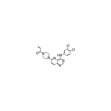 C=CC(=O)N1CCN(c2ccc3ncnc(Nc4ccc(Cl)c(Cl)c4)c3n2)CC1